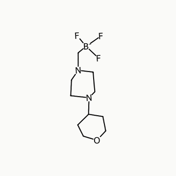 F[B-](F)(F)CN1CCN(C2CCOCC2)CC1